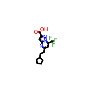 O=C(O)c1cc2nc(CCC3CCCC3)cc(C(F)(F)F)n2n1